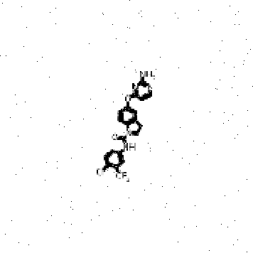 Nc1nccc(Oc2ccc3c(c2)CCN3C(=O)Nc2ccc(Cl)c(C(F)(F)F)c2)n1